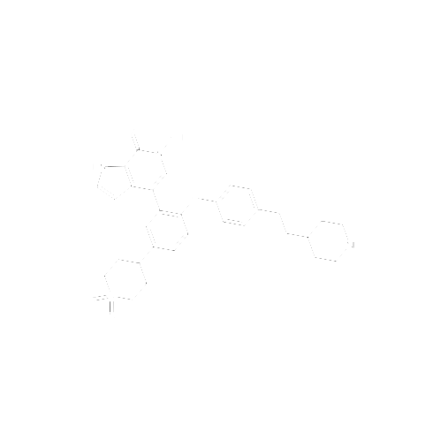 Cn1cc(-c2cc(C3CCS(=O)(=O)CC3)ccc2Oc2ccc(CCC3CCNCC3)cc2)c2cc[nH]c2c1=O